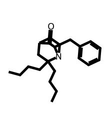 CCCCC1(CCCC)CC2CCN1C(Cc1ccccc1)C2=O